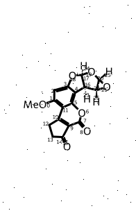 COc1cc2c(c3oc(=O)c4c(c13)CCC4=O)[C@H]1[C@@H](O2)O[C@@H]2O[C@@H]21